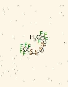 Cc1c(F)c(F)c(F)c(-c2ccc(-c3ccc(-c4ccc(-c5ccc(-c6c(F)c(F)c(F)c(F)c6F)s5)s4)s3)s2)c1F